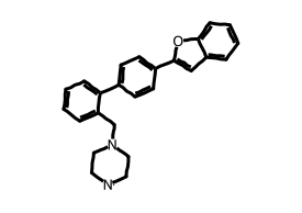 c1ccc(-c2ccc(-c3cc4ccccc4o3)cc2)c(CN2CC[N]CC2)c1